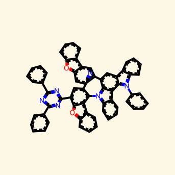 N#Cc1cc(-c2nc(-c3ccccc3)nc(-c3ccccc3)n2)c2oc3ccccc3c2c1-n1c2ccccc2c2c1c(-c1ccc3oc4ccccc4c3c1)cc1c3ccccc3n(-c3ccccc3)c12